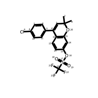 CC1(C)C=C(c2ccc(Cl)cc2)c2ccc(OS(=O)(=O)C(F)(F)F)cc2O1